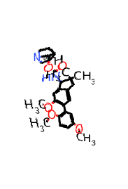 COc1ccc(OC)c(-c2cc3c(cc2OC)C(NC(=O)O[C@H]2CN4CCC2CC4)C(C)(C)C3)c1